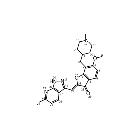 COc1ccc2c(c1CC1CCNCC1)OC(=Cc1n[nH]c3nc(C)ccc13)C2=O